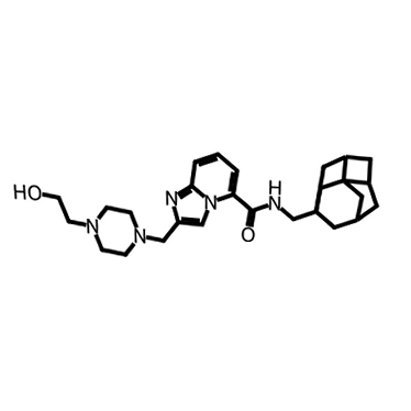 O=C(NCC12CC3CC4CC(C1)C4(C3)C2)c1cccc2nc(CN3CCN(CCO)CC3)cn12